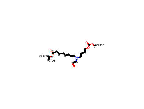 CCCCCCCCCCCOC(=O)OCCCCN(CCO)CCCCCCCC(=O)OC(CCCCCCCC)CCCCCCCC